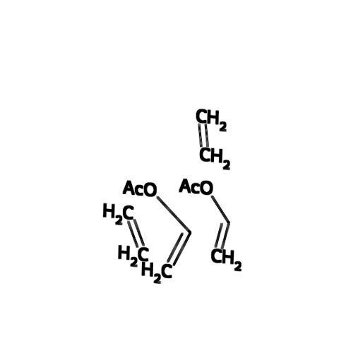 C=C.C=C.C=COC(C)=O.C=COC(C)=O